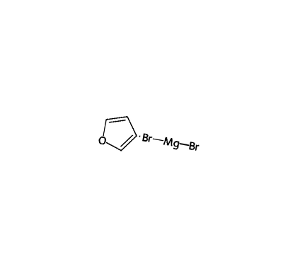 [Br][Mg][Br].[c]1ccoc1